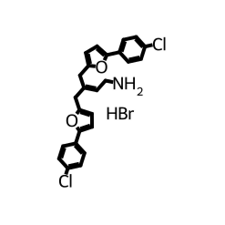 Br.NCC=C(Cc1ccc(-c2ccc(Cl)cc2)o1)Cc1ccc(-c2ccc(Cl)cc2)o1